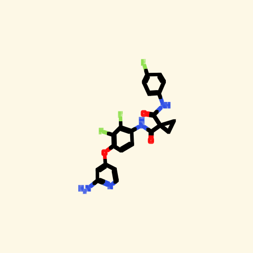 Nc1cc(Oc2ccc(NC(=O)C3(C(=O)Nc4ccc(F)cc4)CC3)c(F)c2F)ccn1